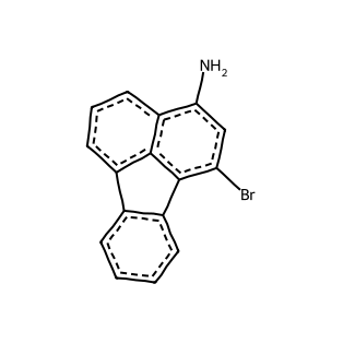 Nc1cc(Br)c2c3c(cccc13)-c1ccccc1-2